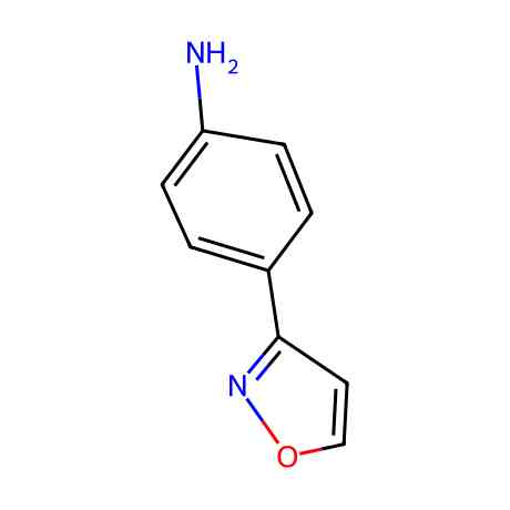 Nc1ccc(-c2ccon2)cc1